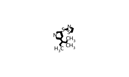 CCC(c1cncc(Sc2nccs2)c1)C(C)C